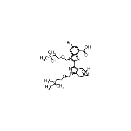 C[C@@]12Cc3c(c(-c4nc5c(C(=O)O)cc(Br)cc5n4COCC[Si](C)(C)C)nn3COCC[Si](C)(C)C)C[C@@H]1C2